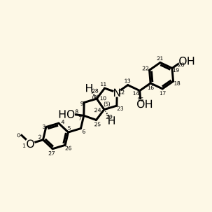 COc1ccc(CC2(O)C[C@H]3CN(CC(O)c4ccc(O)cc4)C[C@H]3C2)cc1